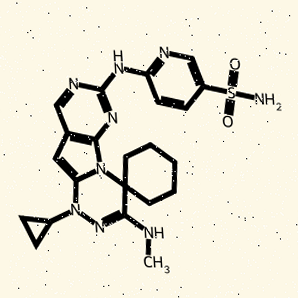 CNC1=NN(C2CC2)c2cc3cnc(Nc4ccc(S(N)(=O)=O)cn4)nc3n2C12CCCCC2